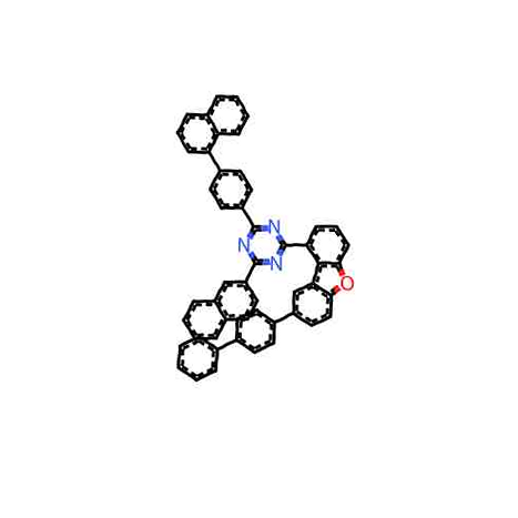 c1ccc(-c2ccc(-c3ccc4oc5cccc(-c6nc(-c7ccc(-c8cccc9ccccc89)cc7)nc(-c7ccc8ccccc8c7)n6)c5c4c3)cc2)cc1